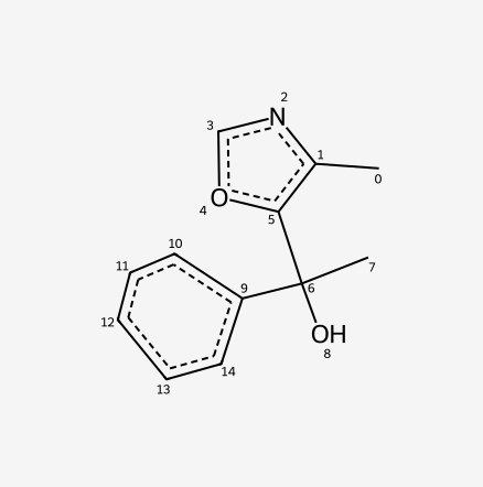 Cc1ncoc1C(C)(O)c1ccccc1